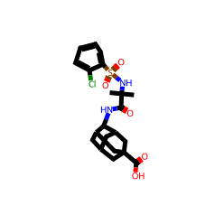 CC(C)(NS(=O)(=O)c1ccccc1Cl)C(=O)NC1C2CC3CC1CC(C(=O)O)(C3)C2